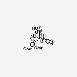 COc1ccc([C@@]23CC[C@@H](NC(=O)Nc4ccc5ncsc5c4)C[C@@H]2N(C)CC3)cc1OC.O=C(O)C(F)(F)F